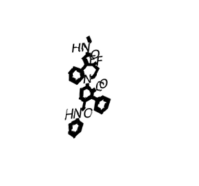 CCNC(=O)C=C1c2ccccc2N(C2C=CC(C(=O)Nc3ccccc3)=C(c3ccccc3)C2=C=O)CCC1(F)F